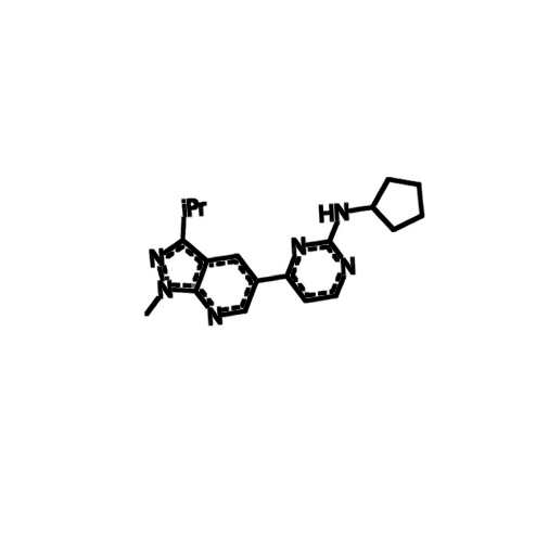 CC(C)c1nn(C)c2ncc(-c3ccnc(NC4CCCC4)n3)cc12